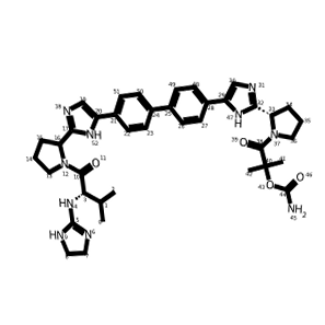 CC(C)[C@H](NC1=NCCN1)C(=O)N1CCCC1c1ncc(-c2ccc(-c3ccc(-c4cnc([C@@H]5CCCN5C(=O)C(C)(C)OC(N)=O)[nH]4)cc3)cc2)[nH]1